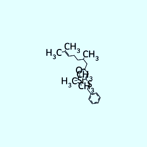 CC(C)=CCCC(C)CC(=O)C=C(SCc1ccccc1)[Si](C)(C)C